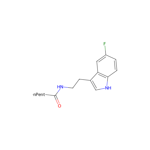 [CH2]CCC[CH]C(=O)NCCc1c[nH]c2ccc(F)cc12